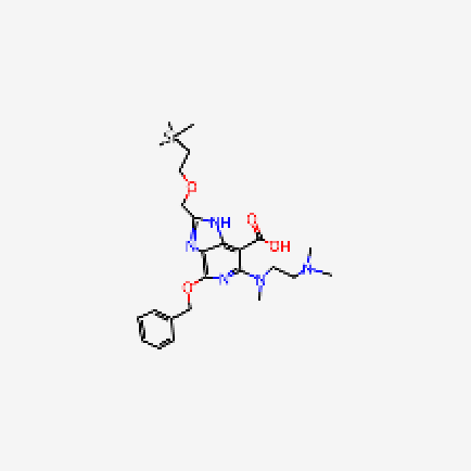 CN(C)CCN(C)c1nc(OCc2ccccc2)c2nc(COCC[Si](C)(C)C)[nH]c2c1C(=O)O